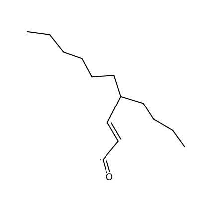 CCCCCCC(C=C[C]=O)CCCC